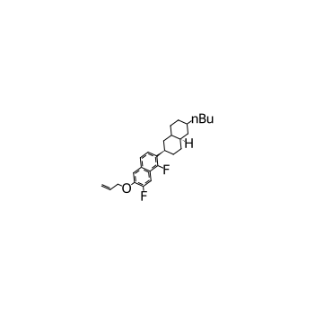 C=CCOc1cc2ccc([C@@H]3CC[C@@H]4CC(CCCC)CCC4C3)c(F)c2cc1F